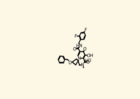 CN1CC2(CC(OCc3ccccc3)C2)n2cc(C(=O)NCc3ccc(F)cc3F)c(=O)c(O)c2C1=O.Cl